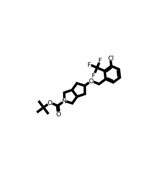 CC(C)(C)OC(=O)N1CC2CC(OCc3cccc(Cl)c3C(F)(F)F)CC2C1